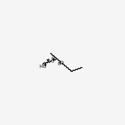 CCCCCCCC/C=C\CCCCCCCCOC(=O)CCCC(CCCCCC)CC(=O)OCCN(CCN(CC)CO)C(C)C